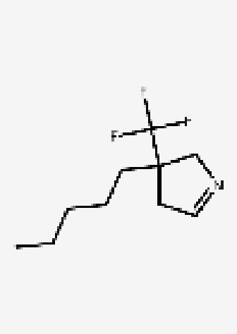 CCCCCC1(C(F)(F)F)CC=NC1